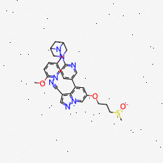 COc1ccc(CN2C3CC2CN(c2ccc(-c4cc(OCCC[S+](C)[O-])cn5ncc(C#N)c45)cn2)C3)cn1